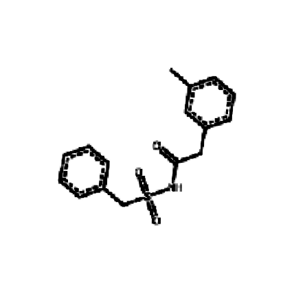 Cc1cccc(CC(=O)NS(=O)(=O)Cc2ccccc2)c1